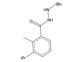 Cc1c(C(=O)NNC(C)(C)C)cccc1C(C)C